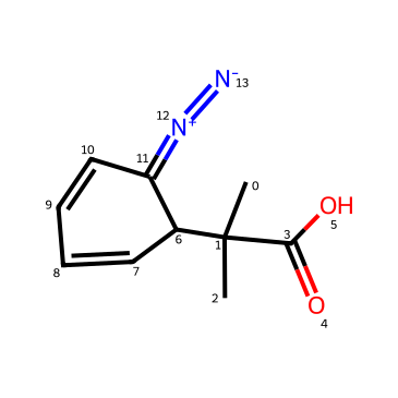 CC(C)(C(=O)O)C1C=CC=CC1=[N+]=[N-]